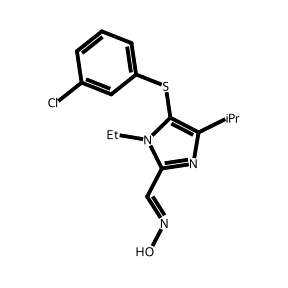 CCn1c(C=NO)nc(C(C)C)c1Sc1cccc(Cl)c1